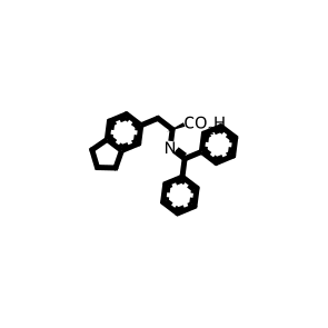 O=C(O)[C@H](Cc1ccc2c(c1)CCC2)N=C(c1ccccc1)c1ccccc1